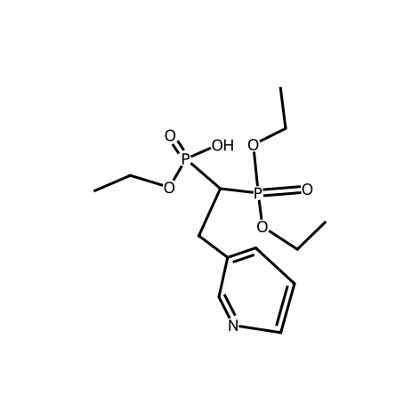 CCOP(=O)(O)C(Cc1cccnc1)P(=O)(OCC)OCC